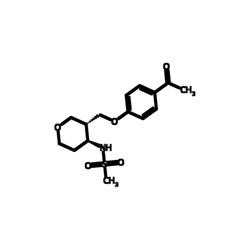 CC(=O)c1ccc(OC[C@H]2COCC[C@@H]2NS(C)(=O)=O)cc1